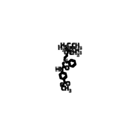 COC(=O)c1ccc(NC(=O)CN(CCO[Si](C)(C)C(C)(C)C)c2ccccc2)cc1